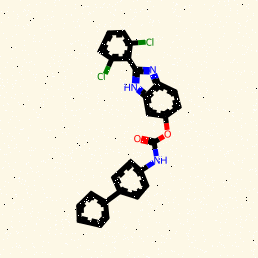 O=C(Nc1ccc(-c2ccccc2)cc1)Oc1ccc2nc(-c3c(Cl)cccc3Cl)[nH]c2c1